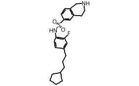 O=S(=O)(Nc1ccc(CCCC2CCCC2)cc1F)c1ccc2c(c1)CCNC2